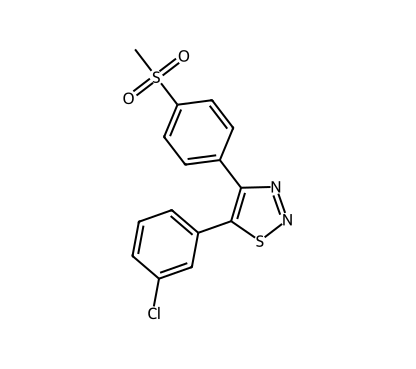 CS(=O)(=O)c1ccc(-c2nnsc2-c2cccc(Cl)c2)cc1